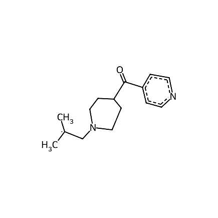 C[C](C)CN1CCC(C(=O)c2ccncc2)CC1